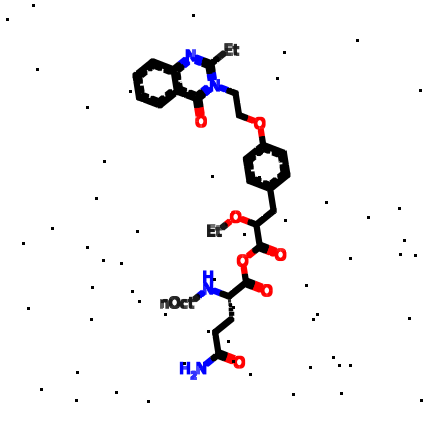 CCCCCCCCN[C@@H](CCC(N)=O)C(=O)OC(=O)C(Cc1ccc(OCCn2c(CC)nc3ccccc3c2=O)cc1)OCC